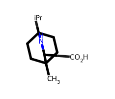 CC(C)C12CCC(C)(CC1)C(C(=O)O)N2